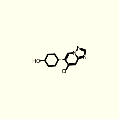 O[C@H]1CC[C@H](c2cn3ncnc3cc2Cl)CC1